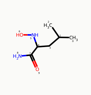 CC(C)CC(NO)C(N)=O